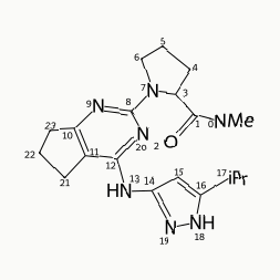 CNC(=O)C1CCCN1c1nc2c(c(Nc3cc(C(C)C)[nH]n3)n1)CCC2